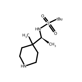 C[C@H](NS(=O)(=O)C(C)(C)C)C1(C)CCNCC1